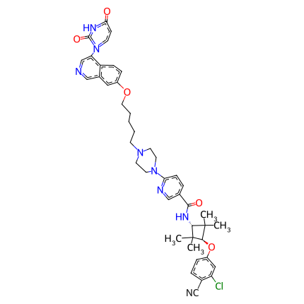 CC1(C)[C@H](NC(=O)c2ccc(N3CCN(CCCCCOc4ccc5c(-n6ccc(=O)[nH]c6=O)cncc5c4)CC3)nc2)C(C)(C)[C@H]1Oc1ccc(C#N)c(Cl)c1